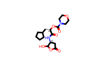 O=C1C[C@H](NC(=O)[C@H](CC2CCCC2)OC(=O)N2CCOCC2)C(O)O1